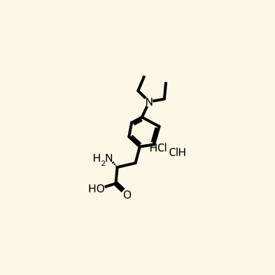 CCN(CC)c1ccc(C[C@@H](N)C(=O)O)cc1.Cl.Cl